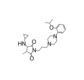 CC(C)Oc1ccccc1N1CCN(CCCN2C(=O)C(C)C(NC3CC3)C2=O)CC1